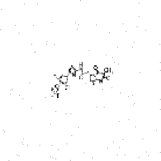 Cn1c(=O)nc2scc(CC(=O)Nc3nc(-c4cc(F)c(OCC(F)(F)F)c(Cl)c4)cs3)n2c1=O